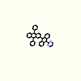 c1ccc(-c2c3ccccc3c(-c3ccccc3)c3cc(-c4c5ccccc5c(-c5ncccn5)c5ccccc45)ccc23)cc1